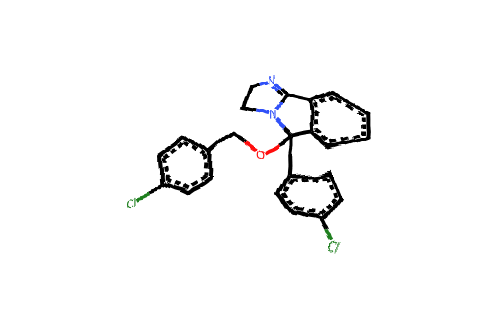 Clc1ccc(COC2(c3ccc(Cl)cc3)c3ccccc3C3=NCCN32)cc1